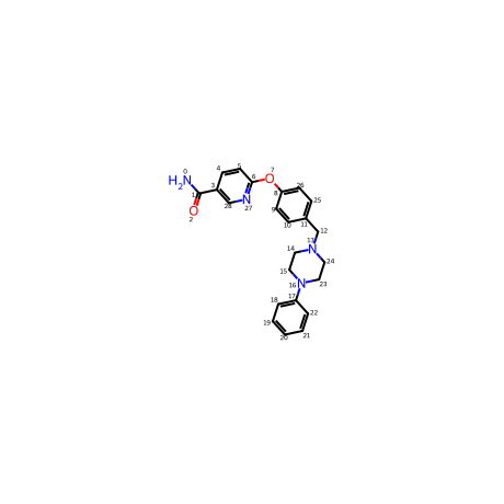 NC(=O)c1ccc(Oc2ccc(CN3CCN(c4ccccc4)CC3)cc2)nc1